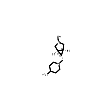 CC(C)N1C[C@@H]2[C@@H](CN3CCC(C(C)(C)C)CC3)[C@@H]2C1